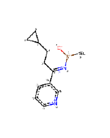 CC(C)(C)[S+]([O-])/N=C(\CCC1CC1)c1cccnc1